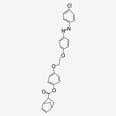 O=C(Oc1ccc(OCCOc2ccc(/N=N/c3ccc(Cl)cc3)cc2)cc1)C1CC2C=CC1C2